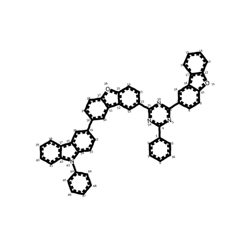 c1ccc(-c2nc(-c3ccc4oc5ccccc5c4c3)nc(-c3ccc4oc5ccc(-c6ccc7c(c6)c6ccccc6n7-c6ccccc6)cc5c4c3)n2)cc1